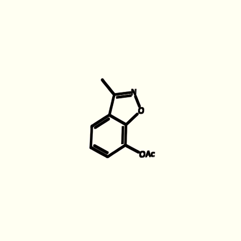 CC(=O)Oc1cccc2c(C)noc12